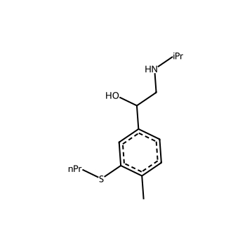 CCCSc1cc(C(O)CNC(C)C)ccc1C